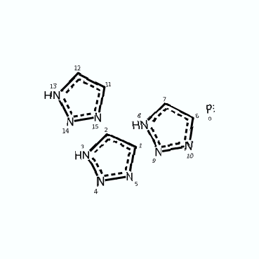 [P].c1c[nH]nn1.c1c[nH]nn1.c1c[nH]nn1